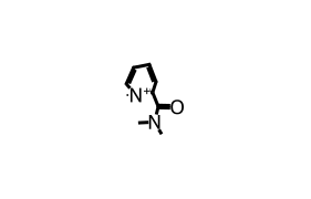 CN(C)C(=O)C1=[N+]C=CC=C1